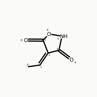 [CH2]C=C1C(=O)NOC1=O